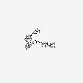 N=C(N)NCCNC(=O)CCCC1CCN(c2cc(N3CCC[C@H]3C(=O)NCCc3ccc(C(F)(F)F)cc3)nc(C(F)(F)F)n2)CC1